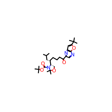 CC(C)C[C@H](CCCC(=O)c1cnc2oc(C(C)(C)C)cc2n1)[C@@H]1COC(C)(C)N1C(=O)OC(C)(C)C